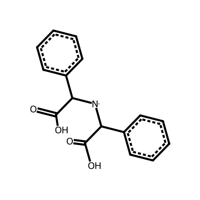 O=C(O)C([N]C(C(=O)O)c1ccccc1)c1ccccc1